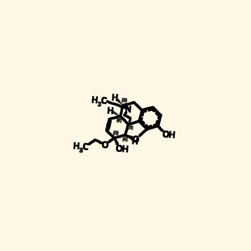 CCO[C@]1(O)C=C[C@H]2[C@H]3Cc4ccc(O)c5c4[C@@]2(CCN3C)[C@H]1O5